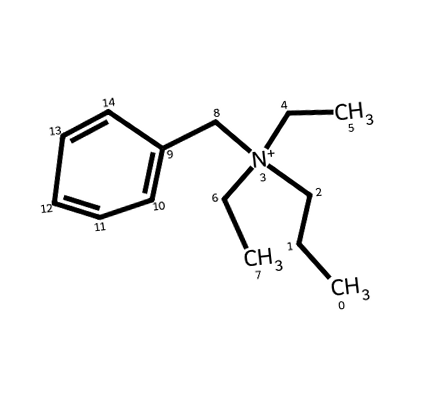 CCC[N+](CC)(CC)Cc1ccccc1